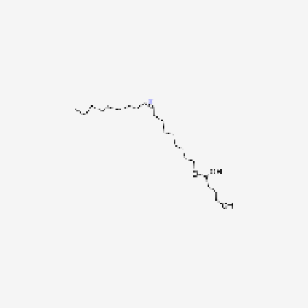 CCCCCCCC/C=C\CCCCCCCCOC(O)CCCO